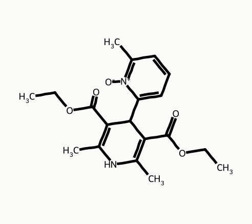 CCOC(=O)C1=C(C)NC(C)=C(C(=O)OCC)C1c1cccc(C)[n+]1[O-]